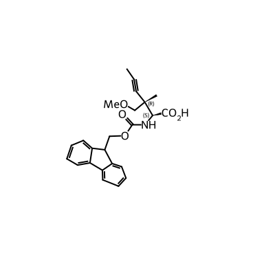 CC#C[C@@](C)(COC)[C@H](NC(=O)OCC1c2ccccc2-c2ccccc21)C(=O)O